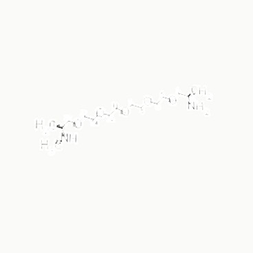 C=C(N)COCCOCCOCCOCCOCC(=C)NC